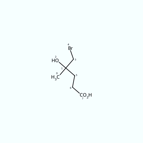 CC(O)(CBr)CCC(=O)O